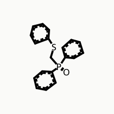 O=P(CSc1ccccc1)(c1ccccc1)c1ccccc1